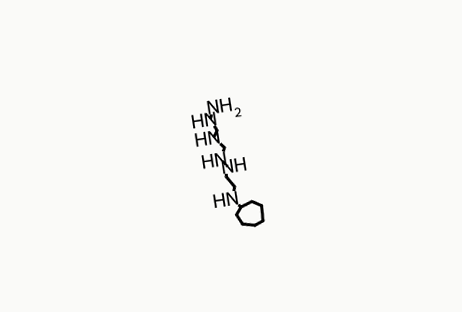 NNCNCNNCCNC1CCCCCC1